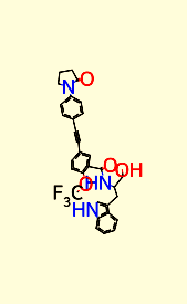 O=C(NC(CO)Cc1c[nH]c2ccccc12)c1cc(C#Cc2ccc(N3CCCC3=O)cc2)ccc1OC(F)(F)F